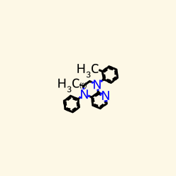 Cc1ccccc1N1C[C@H](C)N(c2ccccc2)c2cccnc21